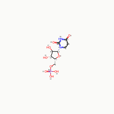 O=c1ccn([C@@H]2O[C@H](COP(=O)(O)O)[C@H](O)C2O)c(=O)[nH]1